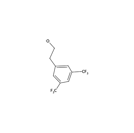 [O]CCc1cc(C(F)(F)F)cc(C(F)(F)F)c1